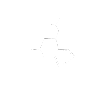 CC(O)CN(CC(C)O)c1cc[c]cc1